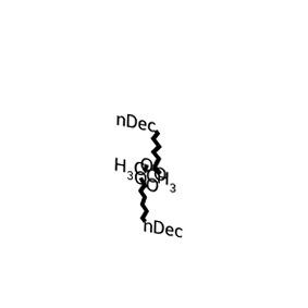 CCCCCCCCCCCCCCCC(=O)OC(C)(C)OC(=O)CCCCCCCCCCCCCCC